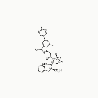 CC(=O)c1nn(CC(=O)N2[C@H](N(C=O)[C@H](Cc3ccccc3)C(=O)O)C[C@@]3(C)C[C@@H]23)c2c(C)cc(-c3cnc(C)nc3)cc12